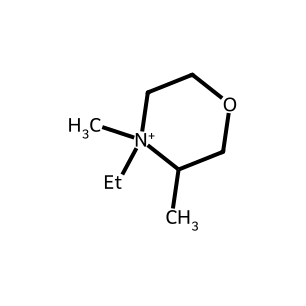 CC[N+]1(C)CCOCC1C